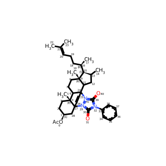 CC(=O)O[C@H]1CC[C@]2(C)C3CC[C@@]4(C)C(CC(C)[C@@H]4[C@H](C)CCC=C(C)C)C34C=CC2(C1)n1c(=O)n(-c2ccccc2)c(=O)n14